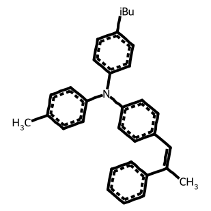 CCC(C)c1ccc(N(c2ccc(C)cc2)c2ccc(C=C(C)c3ccccc3)cc2)cc1